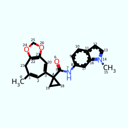 CC1=CC(C2(C(=O)Nc3ccc4ccn(C)c4c3)CC2)=CC2=C(C1)OCO2